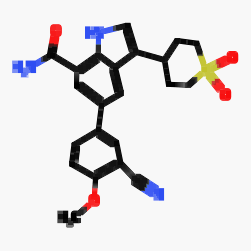 COc1ccc(-c2cc(C(N)=O)c3[nH]cc(C4CCS(=O)(=O)CC4)c3c2)cc1C#N